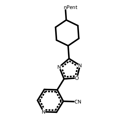 CCCCCC1CCC(c2noc(-c3ccncc3C#N)n2)CC1